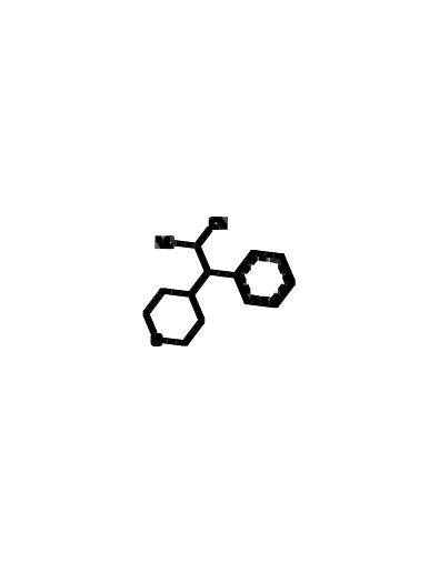 N#CC(C#N)C(c1ccccc1)C1CCOCC1